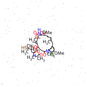 COc1cc2cc(c1Cl)N(C)C(=O)CC(OC(=O)C(C)N(C)C(=O)CCC(C)(C)S)C(C)(O)C1CC1(C)C1CC(O)(NC(=O)O1)C(OC)/C=C/C=C(\C)C2